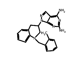 Cc1ccccc1CN1CC(n2ncc3c(N)nc(N)nc32)Cc2ccccc21